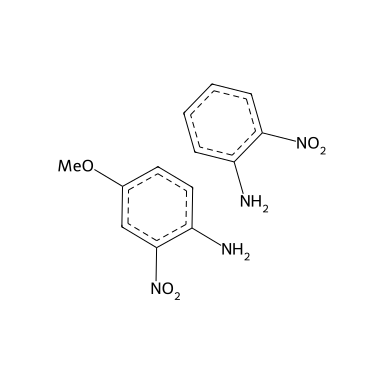 COc1ccc(N)c([N+](=O)[O-])c1.Nc1ccccc1[N+](=O)[O-]